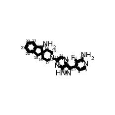 Nc1nccc(-c2n[nH]c3nc(N4CCC5(CC4)Cc4ccccc4[C@@H]5N)cnc23)c1F